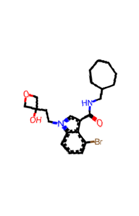 O=C(NCC1CCCCCC1)c1cn(CCC2(O)COC2)c2cccc(Br)c12